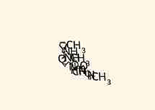 Cc1cc(C(=O)NC2CCN(C)CC2)c(C)nc1C(NC(=O)c1cc2cccc(C)c2[nH]1)C1CC1